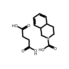 O=C(O)CCC(=O)O.O=C(O)N1CCC2C=CC=CC2C1